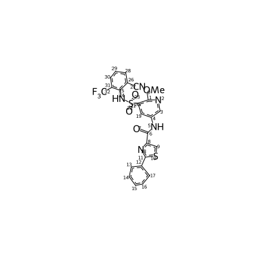 COc1ncc(NC(=O)c2csc(-c3ccccc3)n2)cc1S(=O)(=O)Nc1c(C#N)cccc1C(F)(F)F